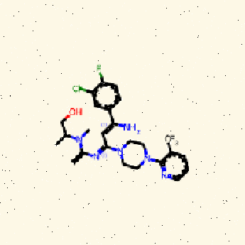 C=C(/N=C(\C=C(/N)c1ccc(F)c(Cl)c1)N1CCN(c2ncccc2C(F)(F)F)CC1)N(C)C(C)CO